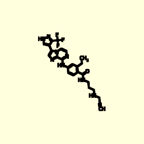 C#CCNCCCNC(=O)c1ccc(Nc2nccn3c(-c4c[nH]nc4C(F)(F)F)cnc23)cc1CC